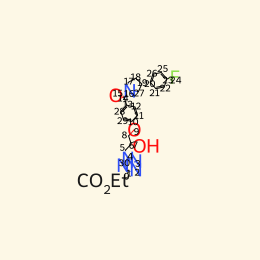 CCOC(=O)c1nnn(C[C@@H](O)COc2ccc(C(=O)N3CC[C@H](c4ccc(F)cc4)C3)cc2)n1